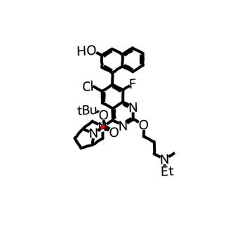 CCN(C)CCCOc1nc(N2CC3CCC(C2)N3C(=O)OC(C)(C)C)c2cc(Cl)c(-c3cc(O)cc4ccccc34)c(F)c2n1